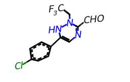 O=CC1=NC=C(c2ccc(Cl)cc2)NN1CC(F)(F)F